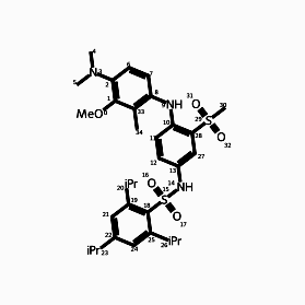 COc1c(N(C)C)ccc(Nc2ccc(NS(=O)(=O)c3c(C(C)C)cc(C(C)C)cc3C(C)C)cc2S(C)(=O)=O)c1C